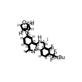 Cc1nnc(N[C@H](C)c2cccc(C(F)(F)C(C)(C)C)c2F)c2cc(N3C[C@H]4C[C@@H]3CO4)ccc12